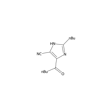 CCCCC(=O)c1nc(CCCC)[nH]c1C#N